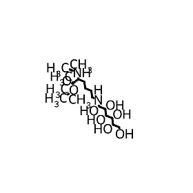 CC(C)(C)NC(CCCCNC(O)C(O)C(O)C(O)C(O)CO)C(=O)OC(C)(C)C